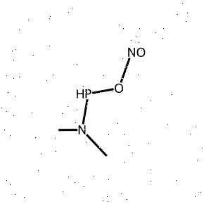 CN(C)PON=O